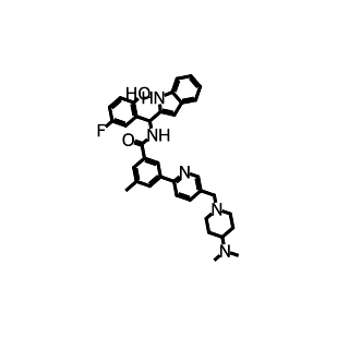 Cc1cc(C(=O)NC(c2cc3ccccc3[nH]2)c2cc(F)ccc2O)cc(-c2ccc(CN3CCC(N(C)C)CC3)cn2)c1